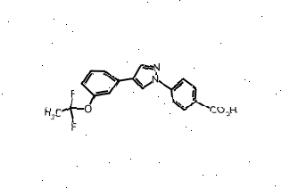 CC(F)(F)Oc1cccc(-c2cnn(-c3ccc(C(=O)O)cc3)c2)c1